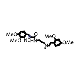 COc1ccc(CCN(C)CCCNC(=O)/C(C#N)=C/c2ccc(OC)c(OC)c2)c(OC)c1